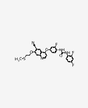 CSCCOc1cc2nccc(Oc3ccc(NC(=O)Nc4ccc(F)cc4F)c(F)c3)c2cc1C#N